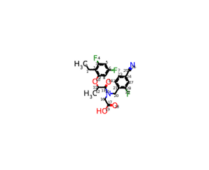 CCc1c(F)cc(F)cc1OC(C)C(=O)N(CC(=O)O)Cc1ccc(C#N)cc1F